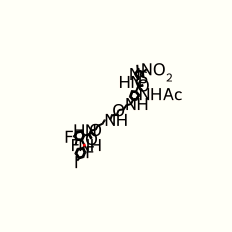 CC(=O)Nc1cc(NCCOCCNCCCONC(=O)c2ccc(F)c(F)c2Nc2ccc(I)cc2F)ccc1C(=O)Nc1nc(C)c([N+](=O)[O-])s1